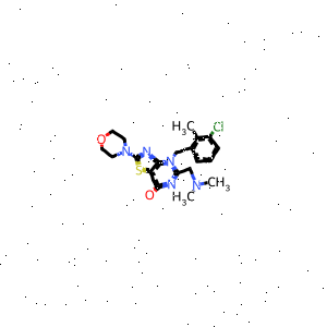 Cc1c(Cl)cccc1Cn1c(CN(C)C)nc(=O)c2sc(N3CCOCC3)nc21